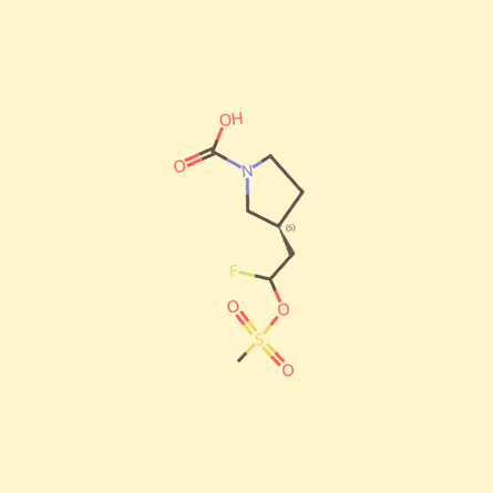 CS(=O)(=O)OC(F)C[C@@H]1CCN(C(=O)O)C1